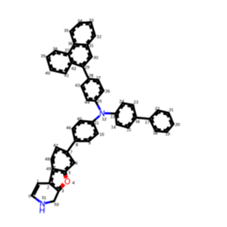 C1=Cc2c(oc3cc(-c4ccc(N(c5ccc(-c6ccccc6)cc5)c5ccc(-c6cc7ccccc7c7ccccc67)cc5)cc4)ccc23)CN1